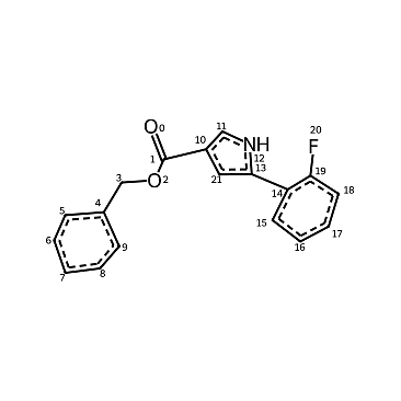 O=C(OCc1ccccc1)c1c[nH]c(-c2ccccc2F)c1